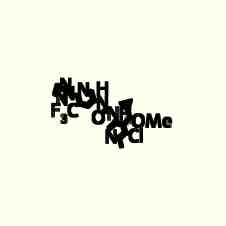 CO[C@H](c1c(NC(=O)Nc2cnc(-n3nccn3)c(C(F)(F)F)c2)cnc(C)c1Cl)C1CC1